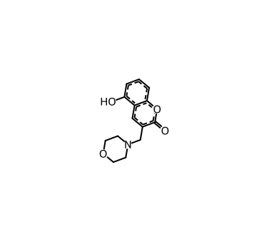 O=c1oc2cccc(O)c2cc1CN1CCOCC1